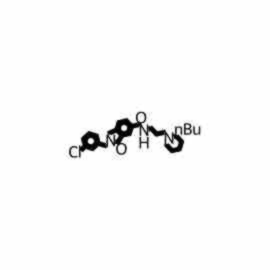 CCCCC1CCCCN1CCCNC(=O)c1ccc2c(c1)C(=O)N(Cc1cccc(Cl)c1)C2